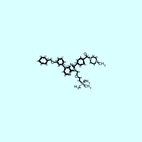 CN1CCN(C(=O)c2ccc(-c3nc4c(-c5cccc(OCc6ccccc6)c5)ccnc4n3COCC[Si](C)(C)C)cc2)CC1